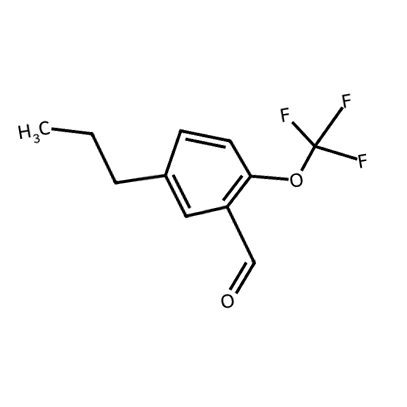 CCCc1ccc(OC(F)(F)F)c(C=O)c1